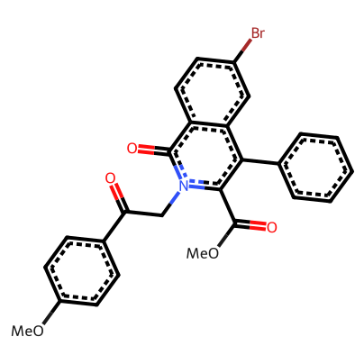 COC(=O)c1c(-c2ccccc2)c2cc(Br)ccc2c(=O)n1CC(=O)c1ccc(OC)cc1